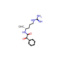 N=C(N)NCCC[C@@H](C=O)NC(=O)C(=O)c1ccccc1